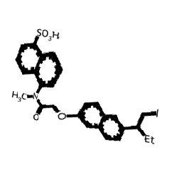 CCC(CI)c1ccc2cc(OCC(=O)N(C)c3cccc4c(S(=O)(=O)O)cccc34)ccc2c1